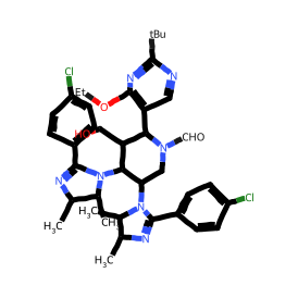 CCOc1nc(C(C)(C)C)ncc1C1C(CO)C(N2C(c3ccc(Cl)cc3)=NC(C)C2C)C(N2C(c3ccc(Cl)cc3)=NC(C)C2C)CN1C=O